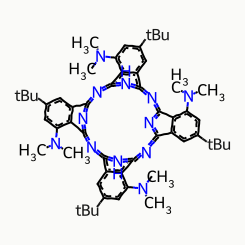 CN(C)c1cc(C(C)(C)C)cc2c1-c1nc-2nc2[nH]c(nc3nc(nc4[nH]c(n1)c1cc(C(C)(C)C)cc(N(C)C)c41)-c1cc(C(C)(C)C)cc(N(C)C)c1-3)c1cc(C(C)(C)C)cc(N(C)C)c21